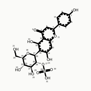 O=c1cc(-c2ccc(O)cc2)oc2cc(O)c([C@@H]3O[C@H](CO)[C@@H](O)[C@H](O)[C@H]3OS(=O)(=O)O)c(O)c12